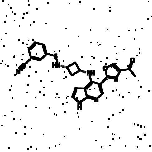 CC(=O)c1coc(-c2cnc3[nH]ccc3c2N[C@H]2C[C@@H](NSc3cccc(C#N)c3)C2)n1